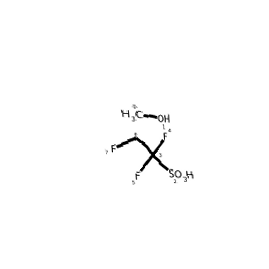 CO.O=S(=O)(O)C(F)(F)CF